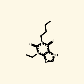 CCCCn1c(=S)c2[nH]cnc2n(CC)c1=O